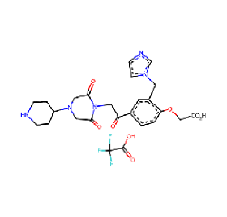 O=C(O)C(F)(F)F.O=C(O)COc1ccc(C(=O)CN2C(=O)CN(C3CCNCC3)CC2=O)cc1Cn1ccnc1